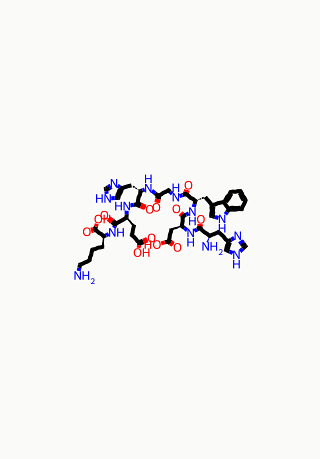 NCCCC[C@H](NC(=O)[C@H](CCC(=O)O)NC(=O)[C@H](Cc1c[nH]cn1)NC(=O)CNC(=O)[C@H](Cc1c[nH]c2ccccc12)NC(=O)[C@H](CC(=O)O)NC(=O)[C@@H](N)Cc1c[nH]cn1)C(=O)O